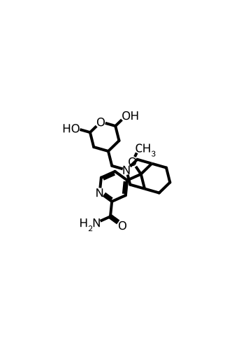 COC1(c2ccnc(C(N)=O)c2)C2CCCC1CN(CC1CC(O)OC(O)C1)C2